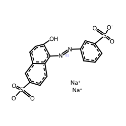 O=S(=O)([O-])c1cccc(/N=N/c2c(O)ccc3cc(S(=O)(=O)[O-])ccc23)c1.[Na+].[Na+]